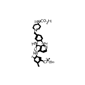 Cc1cc(F)c(Nc2ccnc3c2C(=O)Nc2cc(CN4CCC(NC(=O)O)CC4)ccc2N3)cc1O[Si](C)(C)C(C)(C)C